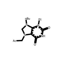 CCCCN1CN(CC(C)=O)c2c1n(CC)c(=O)[nH]c2=O